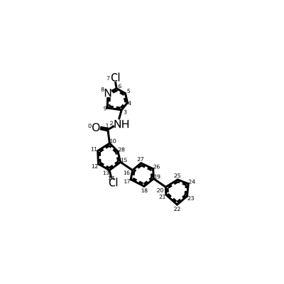 O=C(Nc1ccc(Cl)nc1)c1ccc(Cl)c(-c2ccc(-c3ccccc3)cc2)c1